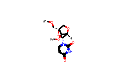 CC(C)OC[C@]12CO[C@@H](C1OC(C)C)[C@H](n1ccc(=O)[nH]c1=O)O2